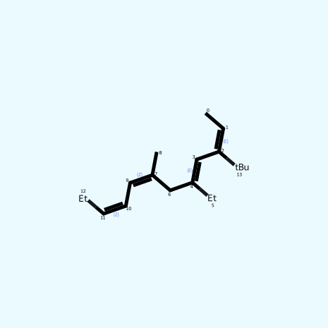 C/C=C(\C=C(/CC)C/C(C)=C\C=C/CC)C(C)(C)C